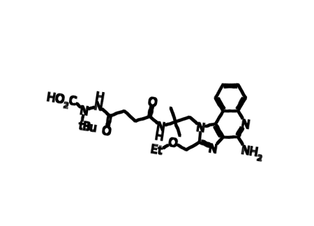 CCOCc1nc2c(N)nc3ccccc3c2n1CC(C)(C)NC(=O)CCC(=O)NN(C(=O)O)C(C)(C)C